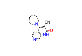 N#Cc1c(N2CCCCCC2)c2ccncc2[nH]c1=O